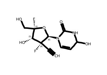 C#C[C@]1(F)[C@H](N2C=CC(O)NC2=O)O[C@](F)(CO)[C@H]1O